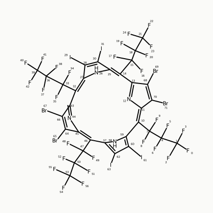 FC(F)(F)C(F)(F)C(F)(F)c1c2nc(c(C(F)(F)C(F)(F)C(F)(F)F)c3[nH]c(c(I)c3I)c(C(F)(F)C(F)(F)C(F)(F)F)c3nc(c(C(F)(F)C(F)(F)C(F)(F)F)c4[nH]c1c(I)c4I)C(Br)=C3Br)C(Br)=C2Br